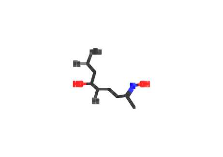 CCCCC(CC)CC(O)C(CC)CCC(C)=NO